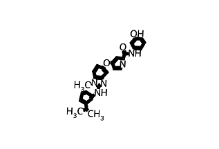 CC(C)c1cccc(Nc2nc3cc(Oc4ccnc(C(=O)Nc5cccc(O)c5)c4)ccc3n2C)c1